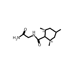 CC1C[C@@H](C)C(C(=O)NCC(N)=O)[C@@H](C)C1